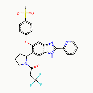 CS(=O)(=O)c1ccc(Oc2cc3nc(-c4ccccn4)[nH]c3cc2C2CCCN2C(=O)CC(F)(F)F)cc1